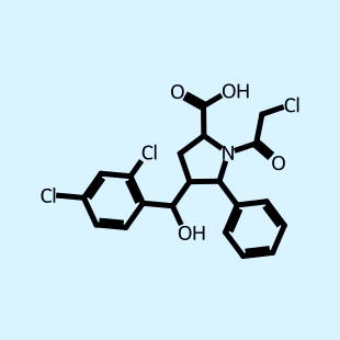 O=C(O)C1CC(C(O)c2ccc(Cl)cc2Cl)C(c2ccccc2)N1C(=O)CCl